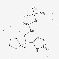 CC(C)(C)OC(=O)NCC1(c2noc(=O)[nH]2)CC12CCCC2